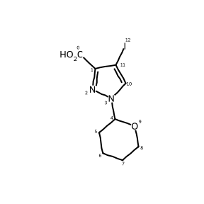 O=C(O)c1nn(C2CCCCO2)cc1I